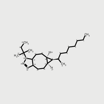 CCCCCCCC(C)[C@@H]1[C@@H]2CCC3C(CC[C@@H]21)N=NN3C(C)(C)CC